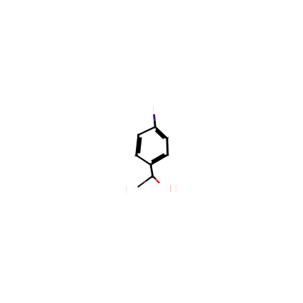 CCC(O)c1ccc(I)cc1